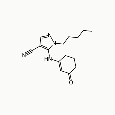 CCCCCn1ncc(C#N)c1NC1=CC(=O)CCC1